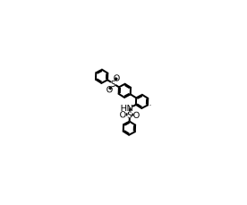 O=S(=O)(Nc1c[c]ccc1-c1ccc(S(=O)(=O)c2ccccc2)cc1)c1ccccc1